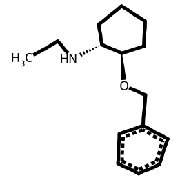 CCN[C@@H]1CCCC[C@H]1OCc1ccccc1